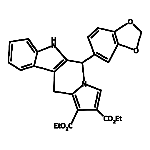 CCOC(=O)c1cn2c(c1C(=O)OCC)Cc1c([nH]c3ccccc13)C2c1ccc2c(c1)OCO2